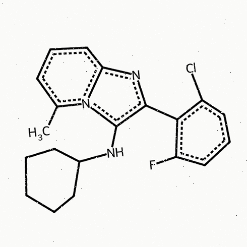 Cc1cccc2nc(-c3c(F)cccc3Cl)c(NC3CCCCC3)n12